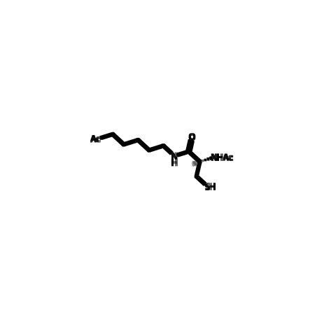 CC(=O)CCCCCNC(=O)[C@@H](CS)NC(C)=O